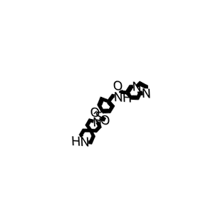 O=C(NCc1ccc(S(=O)(=O)N2CCC3(CCNCC3)CC2)cc1)c1ccc2nccn2c1